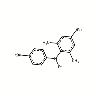 CCN(c1ccc(C(C)(C)C)cc1)c1c(C)cc(C(C)(C)C)cc1C